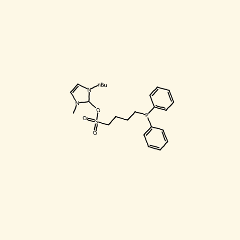 CCCCN1C=CN(C)C1OS(=O)(=O)CCCCP(c1ccccc1)c1ccccc1